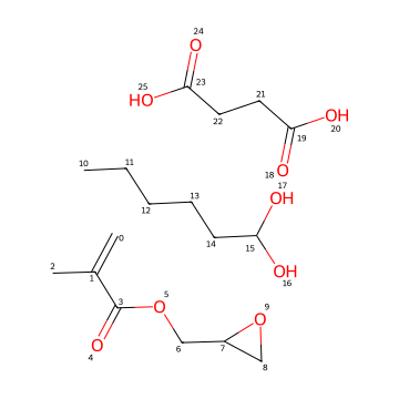 C=C(C)C(=O)OCC1CO1.CCCCCC(O)O.O=C(O)CCC(=O)O